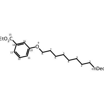 CCCCCCCCCCCCCCCCCCOc1cccc(C(=O)OCC)c1